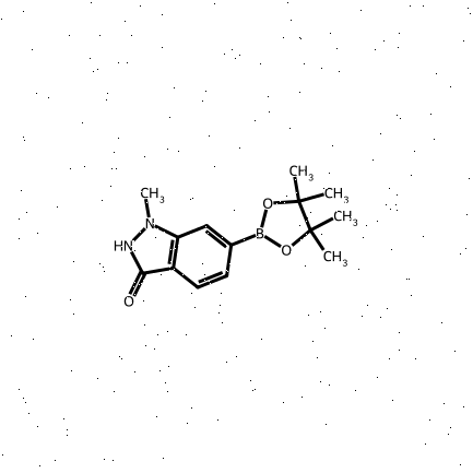 Cn1[nH]c(=O)c2ccc(B3OC(C)(C)C(C)(C)O3)cc21